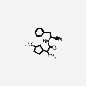 CC1CCC(C(C)C(=O)NC(C#N)Cc2ccccc2)C1